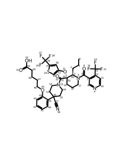 CCC[C@H]1N(C(=O)c2cnccc2C(F)(F)F)CCC[C@@]1(Oc1csc(C(F)(F)F)c1)C(=O)N1CCC(C#N)(c2ccccc2OCCCCC(=O)O)CC1